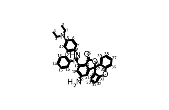 CCN(CC)c1ccc(NN(c2ccccc2)c2cc(N)cc3c2C(=O)OC32c3ccccc3Oc3ccccc32)cc1